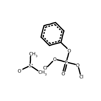 C[S+](C)[O-].O=P(OCl)(OCl)Oc1ccccc1